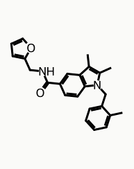 Cc1ccccc1Cn1c(C)c(C)c2cc(C(=O)NCc3ccco3)ccc21